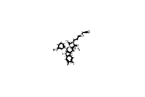 C#CCNCCCN1C(=O)N2[C@H](C3=CCCC(O)=C3)c3[nH]c4cc(F)c(Cl)cc4c3C[C@@]2(C)C1=O